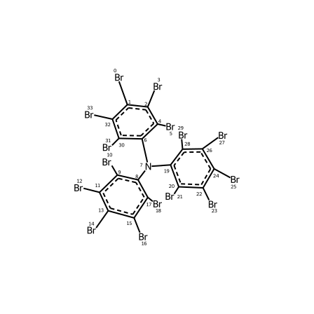 Brc1c(Br)c(Br)c(N(c2c(Br)c(Br)c(Br)c(Br)c2Br)c2c(Br)c(Br)c(Br)c(Br)c2Br)c(Br)c1Br